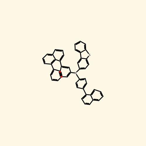 c1ccc(-c2cccc3cccc(-c4cccc(N(c5ccc(-c6cccc7ccccc67)cc5)c5ccc6sc7ccccc7c6c5)c4)c23)cc1